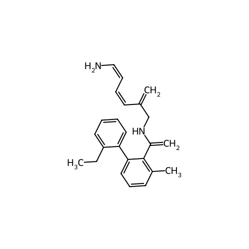 C=C(/C=C\C=C/N)CNC(=C)c1c(C)cccc1-c1ccccc1CC